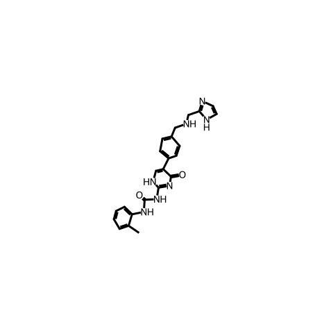 Cc1ccccc1NC(=O)Nc1nc(=O)c(-c2ccc(CNCc3ncc[nH]3)cc2)c[nH]1